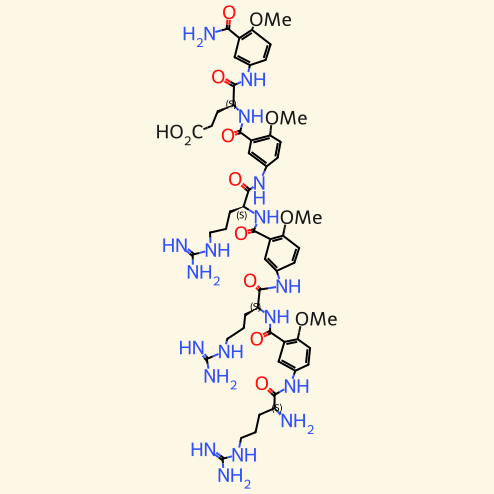 COc1ccc(NC(=O)[C@H](CCC(=O)O)NC(=O)c2cc(NC(=O)[C@H](CCCNC(=N)N)NC(=O)c3cc(NC(=O)[C@H](CCCNC(=N)N)NC(=O)c4cc(NC(=O)[C@@H](N)CCCNC(=N)N)ccc4OC)ccc3OC)ccc2OC)cc1C(N)=O